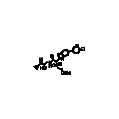 COCCS(=O)(=O)C(C(=O)NCC(O)NC1CC1)c1nc2cc(-c3ccc(Cl)nc3)ccc2s1